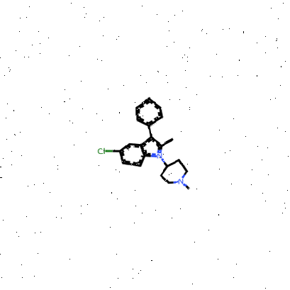 Cc1c(-c2ccccc2)c2cc(Cl)ccc2n1C1CCN(C)CC1